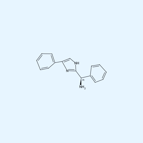 N[C@H](c1ccccc1)c1nc(-c2ccccc2)c[nH]1